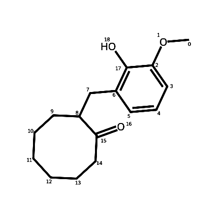 COc1cccc(CC2CCCCCCC2=O)c1O